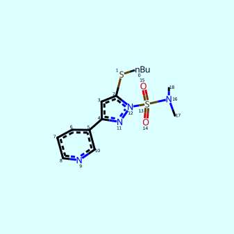 CCCCSc1cc(-c2cccnc2)nn1S(=O)(=O)N(C)C